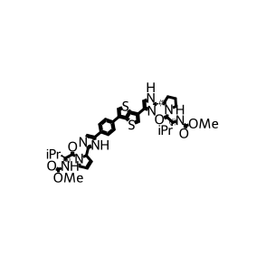 COC(=O)N[C@H](C(=O)N1CC=CC1c1ncc(-c2ccc(-c3csc4c(-c5c[nH]c([C@@H]6CCCN6C(=O)[C@@H](NC(=O)OC)C(C)C)n5)csc34)cc2)[nH]1)C(C)C